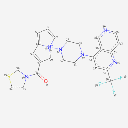 O=C(C1=CC2=CC=C[N@@+]2(N2CCN(c3cc(C(F)(F)F)nc4ccncc34)CC2)C1)N1CCSC1